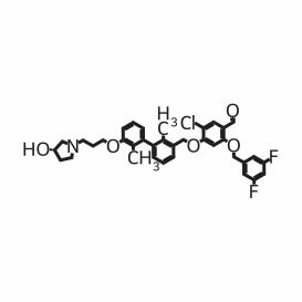 Cc1c(COc2cc(OCc3cc(F)cc(F)c3)c(C=O)cc2Cl)cccc1-c1cccc(OCCCN2CC[C@@H](O)C2)c1C